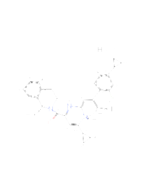 CC(C)=C(/C=C1/N=C(C(=O)N2CCc3ccccc3C2C)C=C(C2CC2)N1C)c1ccc(C2C[C@H]2C)cc1F